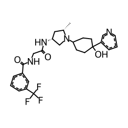 C[C@H]1C[C@@H](NC(=O)CNC(=O)c2cccc(C(F)(F)F)c2)CN1C1CCC(O)(c2cccnc2)CC1